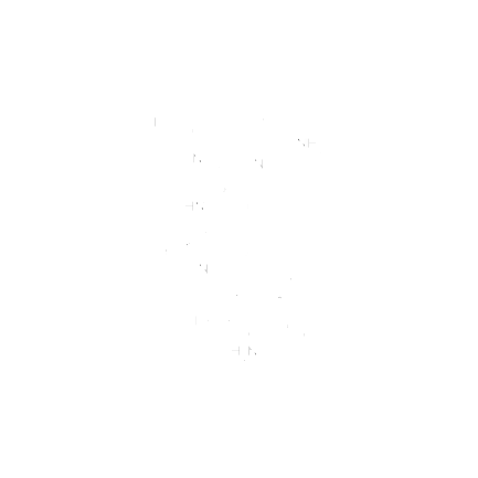 CON=C(C(=O)NC1C(=O)N2CC(C(=O)O)(c3c(N)c(=O)c3=O)CS[C@H]12)c1csc(N)n1